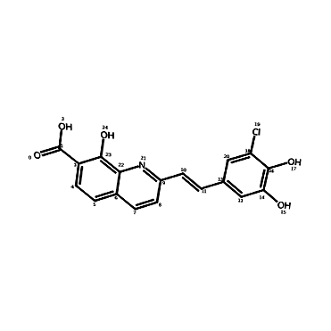 O=C(O)c1ccc2ccc(C=Cc3cc(O)c(O)c(Cl)c3)nc2c1O